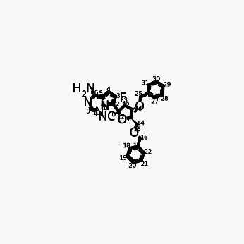 N#C[C@@]1(c2ccc3c(N)ncnn23)O[C@H](COCc2ccccc2)[C@@H](OCc2ccccc2)[C@H]1F